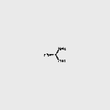 CCC[C@H](C=O)NC